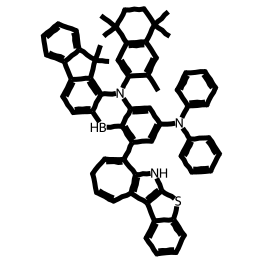 Cc1cc2c(cc1N1c3cc(N(c4ccccc4)c4ccccc4)cc(C4=CCC=Cc5c4[nH]c4sc6ccccc6c54)c3Bc3ccc4c(c31)C(C)(C)c1ccccc1-4)C(C)(C)CCC2(C)C